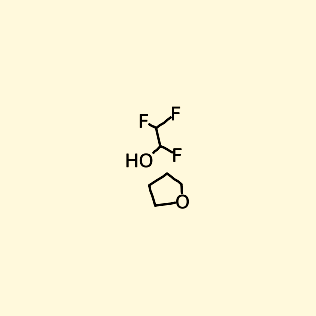 C1CCOC1.OC(F)C(F)F